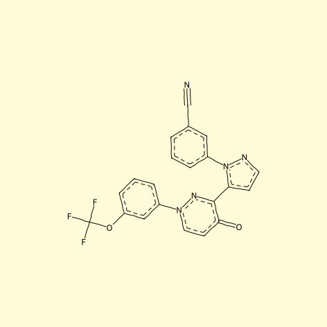 N#Cc1cccc(-n2nccc2-c2nn(-c3cccc(OC(F)(F)F)c3)ccc2=O)c1